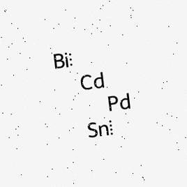 [Bi].[Cd].[Pd].[Sn]